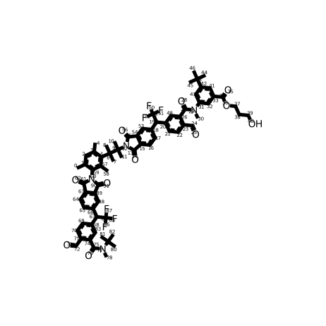 Cc1cc(C)c(C(C)(C)C(C)(C)N2C(=O)c3ccc(C(c4ccc(C=O)c(C(=O)N(C)c5cc(C(=O)OCCCO)cc(C(C)(C)C)c5)c4)C(F)(F)F)cc3C2=O)c(C)c1N1C(=O)c2ccc(C(c3ccc(C=O)c(C(=O)N(C)C(C)(C)C)c3)C(F)(F)F)cc2C1=O